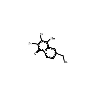 CC(C)(C)Cc1ccn2c(=O)c(C(C)(C)C)c(C(C)(C)C)c(C(C)(C)C)c2c1